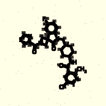 Cc1ncc(Cl)cc1C(=O)NC1CCC(CN2C(=O)C3(CN(C(=O)c4cscn4)C3)c3cc(F)ccc32)CC1